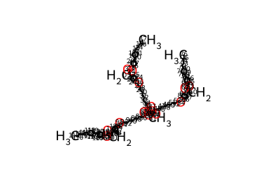 C=C(C(=O)Oc1ccc(C2CCC(CCCCC)CC2)cc1)c1ccc(OCCCCCCCCCC(=O)OC(CC)(OC(=O)CCCCCCCCCOc2ccc(C(=C)C(=O)Oc3ccc(C4CCC(CCCCC)CC4)cc3)cc2)OC(=O)CCCCCCCCCOc2ccc(C(=C)C(=O)Oc3ccc(C4CCC(CCCCC)CC4)cc3)cc2)cc1